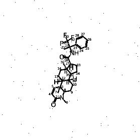 CN1C(=O)C=C[C@@]2(C)C1CC[C@@H]1[C@H]2CC[C@]2(C)C(C(=O)NC(C)(c3ccccc3)C(F)(F)F)CC[C@@H]12